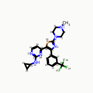 CN1CCN(c2nc(-c3cccc(C(F)(F)F)c3)c(-c3ccnc(NC4CC4)n3)s2)CC1